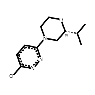 CC(C)[C@@H]1CN(c2ccc(Cl)nn2)CCO1